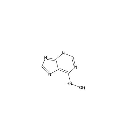 ONC1=C2N=CN=C2[N]C=N1